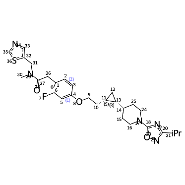 CC(/C=C\C(=C/CF)OCC[C@@H]1C[C@@H]1C1CCN(c2nc(C(C)C)no2)CC1)CC(=O)N(C)Cc1cncs1